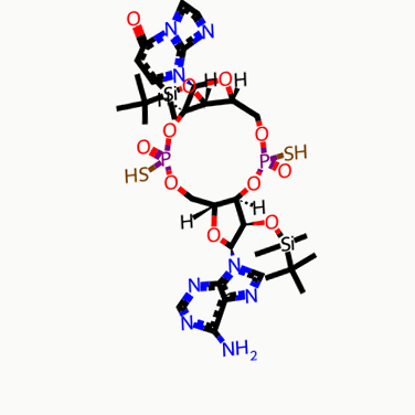 CC(C)(C)[Si](C)(C)O[C@@H]1[C@@H]2OP(=O)(S)OC[C@H]3O[C@@H](n4ccc(=O)n5ccnc45)[C@H](OP(=O)(S)OC[C@H]2O[C@H]1n1cnc2c(N)ncnc21)[C@@H]3O[Si](C)(C)C(C)(C)C